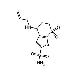 C=CCN[C@H]1CCS(=O)(=O)c2sc(S(N)(=O)=O)cc21